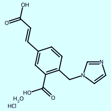 Cl.O.O=C(O)C=Cc1ccc(Cn2ccnc2)c(C(=O)O)c1